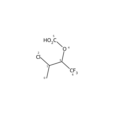 CC(Cl)C(OC(=O)O)C(F)(F)F